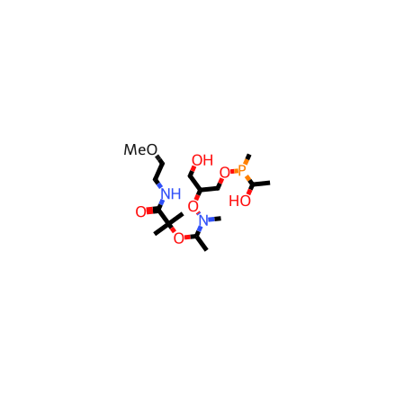 COCCNC(=O)C(C)(C)OC(C)N(C)OC(CO)COP(C)C(C)O